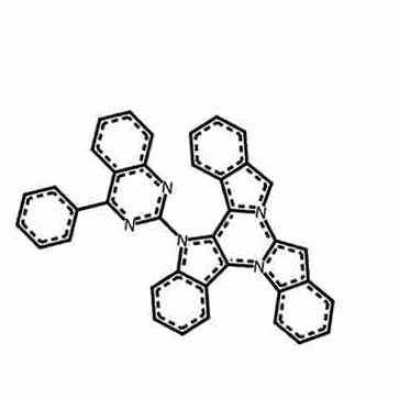 c1ccc(-c2nc(-n3c4ccccc4c4c3c3c5ccccc5cn3c3cc5ccccc5n43)nc3ccccc23)cc1